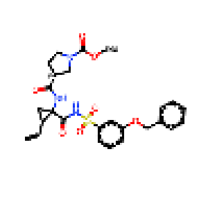 C=CC1CC1(NC(=O)[C@H]1CCN(C(=O)OC(C)(C)C)C1)C(=O)NS(=O)(=O)c1cccc(OCc2ccccc2)c1